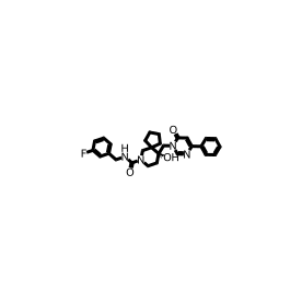 O=C(NCc1cccc(F)c1)N1CC[C@@](O)(Cn2cnc(-c3ccccc3)cc2=O)C2(CCCC2)C1